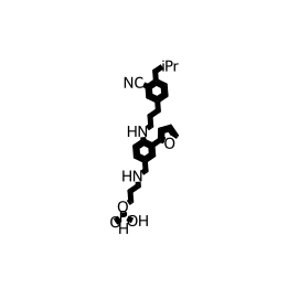 CC(C)Cc1ccc(CCCNc2ccc(CNCCCO[PH](=O)O)cc2-c2ccco2)cc1C#N